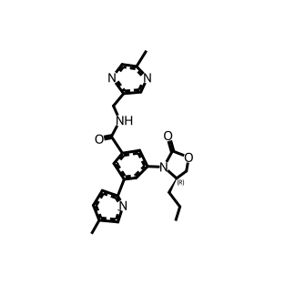 CCC[C@@H]1COC(=O)N1c1cc(C(=O)NCc2cnc(C)cn2)cc(-c2ccc(C)cn2)c1